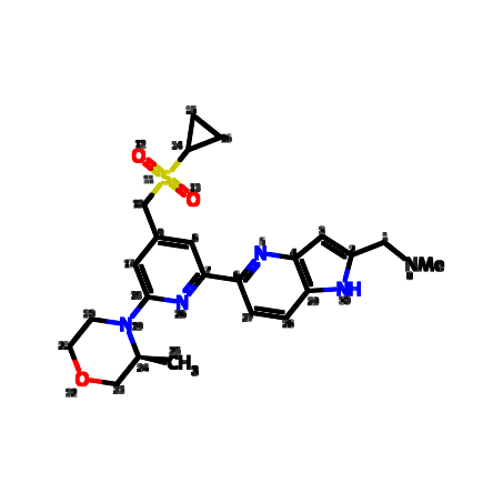 CNCc1cc2nc(-c3cc(CS(=O)(=O)C4CC4)cc(N4CCOC[C@@H]4C)n3)ccc2[nH]1